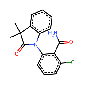 CC1(C)C(=O)N(c2cccc(Cl)c2C(N)=O)c2ccccc21